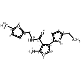 CCc1ccc(-c2noc(N)c2C(=O)NCc2ccc(C)o2)s1